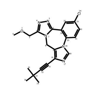 COCc1nnc2n1Cc1c(C#CC(C)(C)C)ncn1-c1ccc(Cl)cc1-2